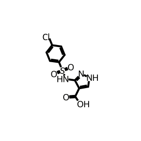 O=C(O)c1c[nH]nc1NS(=O)(=O)c1ccc(Cl)cc1